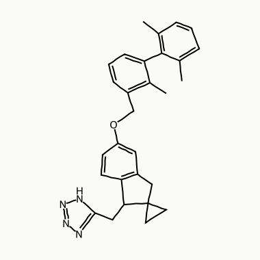 Cc1cccc(C)c1-c1cccc(COc2ccc3c(c2)CC2(CC2)C3Cc2nnn[nH]2)c1C